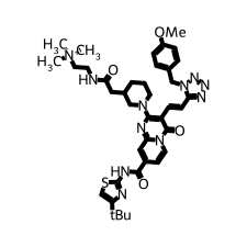 COc1ccc(Cn2nnnc2C=Cc2c(N3CCCC(CC(=O)NCC[N+](C)(C)C)C3)nc3cc(C(=O)Nc4nc(C(C)(C)C)cs4)ccn3c2=O)cc1